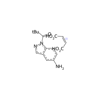 CC(C)(C)C(=O)n1ncc2cc(N)ccc21.O=C(O)/C=C\C(=O)O